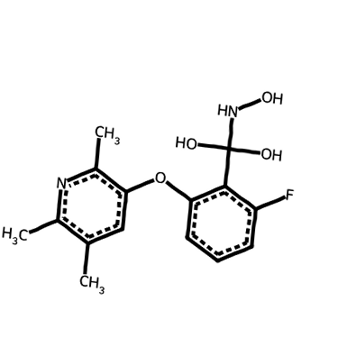 Cc1cc(Oc2cccc(F)c2C(O)(O)NO)c(C)nc1C